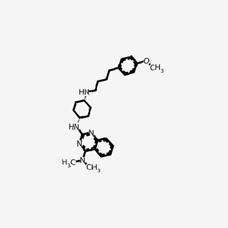 COc1ccc(CCCCN[C@H]2CC[C@@H](Nc3nc(N(C)C)c4ccccc4n3)CC2)cc1